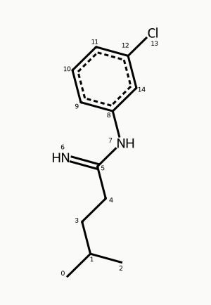 CC(C)CCC(=N)Nc1cccc(Cl)c1